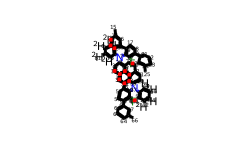 [2H]c1c([2H])c([2H])c(N(c2c(-c3cccc(C)c3)ccc(-c3cccc(C)c3)c2F)c2ccc3ccc4c(N(c5c([2H])c([2H])c([2H])c([2H])c5[2H])c5c(-c6cccc(C)c6)ccc(-c6cccc(C)c6)c5F)ccc5ccc2c3c54)c([2H])c1[2H]